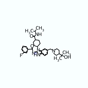 CC(C)NC(=O)C1CCC(n2/c(=N\C(=O)c3cccc(F)c3)[nH]c3ccc(CN4CCC(C(C)(C)O)CC4)cc32)CC1